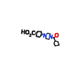 O=C(O)c1ccc(N2CCN(C(=O)C3CCCC3)CC2)cc1